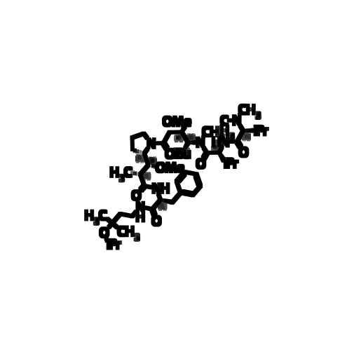 CC[C@H](C)[C@@H]([C@@H](CC(=O)N1CCC[C@H]1[C@H](OC)[C@@H](C)C(=O)N[C@@H](Cc1ccccc1)C(=O)NCCC(C)(C)OC(C)C)OC)N(C)C(=O)[C@@H](NC(=O)[C@H](C(C)C)N(C)C)C(C)C